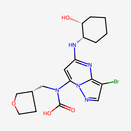 O=C(O)N(C[C@@H]1CCOC1)c1cc(N[C@H]2CCCC[C@H]2O)nc2c(Br)cnn12